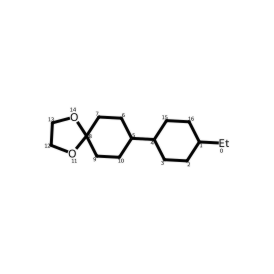 CCC1CCC(C2CCC3(CC2)OCCO3)CC1